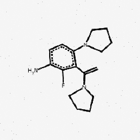 C=C(c1c(N2CCCC2)ccc(N)c1F)N1CCCC1